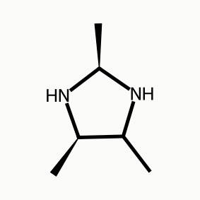 CC1N[C@H](C)N[C@@H]1C